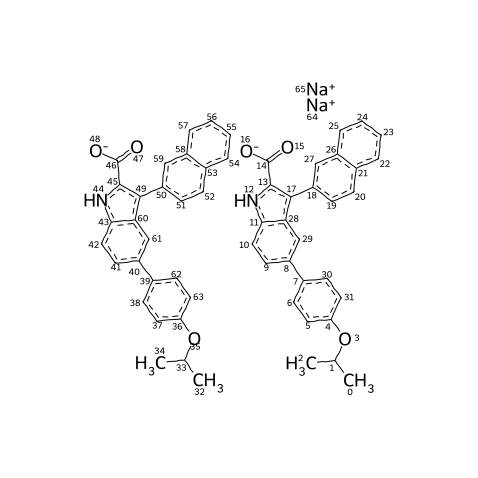 CC(C)Oc1ccc(-c2ccc3[nH]c(C(=O)[O-])c(-c4ccc5ccccc5c4)c3c2)cc1.CC(C)Oc1ccc(-c2ccc3[nH]c(C(=O)[O-])c(-c4ccc5ccccc5c4)c3c2)cc1.[Na+].[Na+]